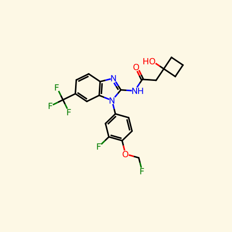 O=C(CC1(O)CCC1)Nc1nc2ccc(C(F)(F)F)cc2n1-c1ccc(OCF)c(F)c1